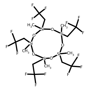 C[Si]1(CC(F)(F)F)O[Si](C)(CC(F)(F)F)O[Si](C)(CC(F)(F)F)O[Si](C)(CC(F)(F)F)O[Si](C)(CC(F)(F)F)O1